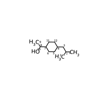 CC(C)CC1CCC(C(C)O)CC1